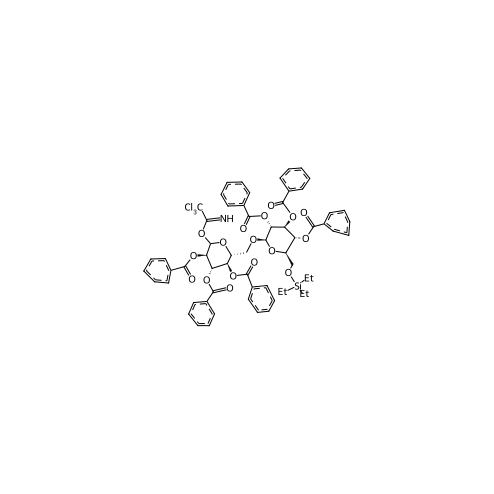 CC[Si](CC)(CC)OC[C@H]1O[C@@H](OC[C@H]2OC(OC(=N)C(Cl)(Cl)Cl)[C@H](OC(=O)c3ccccc3)[C@@H](OC(=O)c3ccccc3)[C@@H]2OC(=O)c2ccccc2)[C@H](OC(=O)c2ccccc2)[C@@H](OC(=O)c2ccccc2)[C@@H]1OC(=O)c1ccccc1